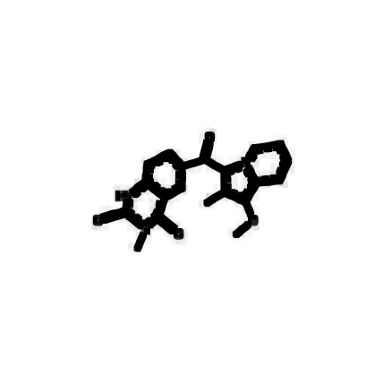 COc1c(C)c(C(=O)c2ccc3[nH]c(=O)n(C)c(=O)c3c2)n2ccccc12